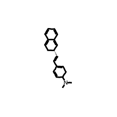 CN(C)C1C=CC(/C=C/[C@H]2C=c3ccccc3=CC2)=CC1